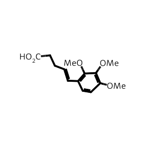 COc1ccc(C=CCCC(=O)O)c(OC)c1OC